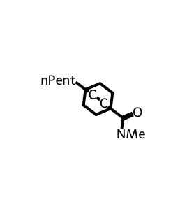 CCCCCC12CCC(C(=O)NC)(CC1)CC2